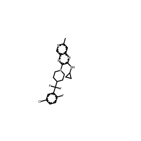 Cc1cc2nc(NC3CC3)c(N3CCC(C(F)(F)c4cc(Cl)ccc4F)CC3)nc2cn1